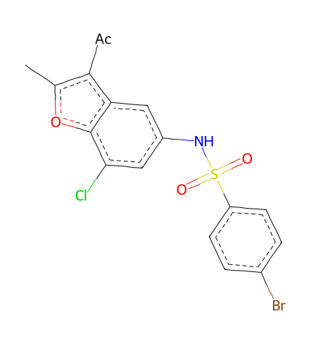 CC(=O)c1c(C)oc2c(Cl)cc(NS(=O)(=O)c3ccc(Br)cc3)cc12